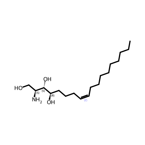 CCCCCCCCC/C=C\CCC[C@@H](O)[C@@H](O)[C@@H](N)CO